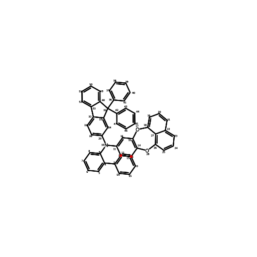 c1ccc(-c2ccccc2N(c2ccc3c(c2)Oc2cccc4cccc(c24)O3)c2ccc3c(c2)C(c2ccccc2)(c2ccccc2)c2ccccc2-3)cc1